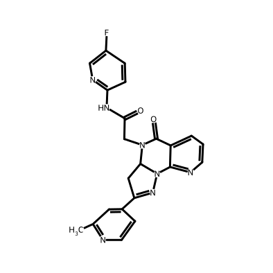 Cc1cc(C2=NN3c4ncccc4C(=O)N(CC(=O)Nc4ccc(F)cn4)C3C2)ccn1